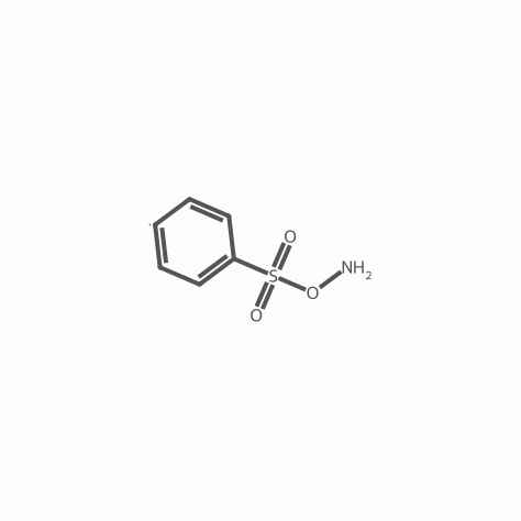 NOS(=O)(=O)c1cc[c]cc1